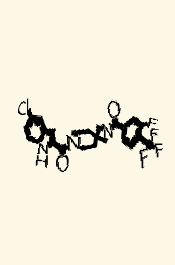 O=C(c1ccc(C(F)(F)F)c(F)c1)N1CC2(CCN(C(=O)c3cc4cc(Cl)ccc4[nH]3)CC2)C1